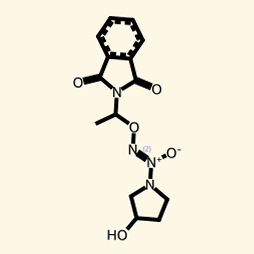 CC(O/N=[N+](\[O-])N1CCC(O)C1)N1C(=O)c2ccccc2C1=O